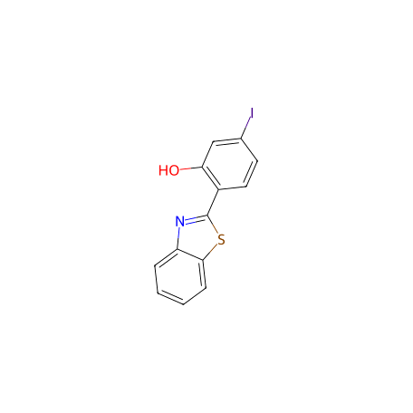 Oc1cc(I)ccc1-c1nc2ccccc2s1